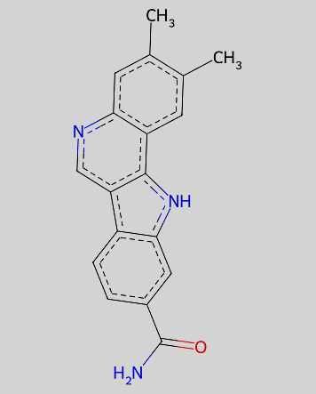 Cc1cc2ncc3c4ccc(C(N)=O)cc4[nH]c3c2cc1C